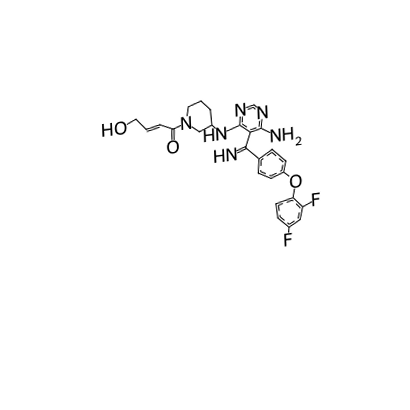 N=C(c1ccc(Oc2ccc(F)cc2F)cc1)c1c(N)ncnc1NC1CCCN(C(=O)/C=C/CO)C1